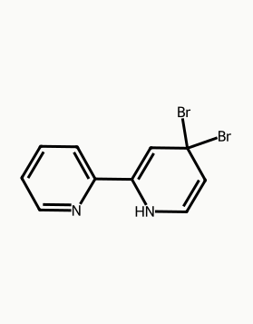 BrC1(Br)C=CNC(c2ccccn2)=C1